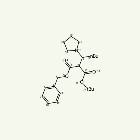 CCCCC(C(C(=O)OCc1ccccc1)C(=O)OC(C)(C)C)N1CCCC1